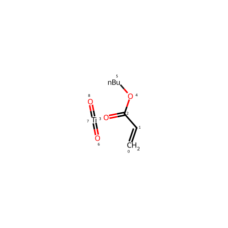 C=CC(=O)OCCCC.[O]=[Ti]=[O]